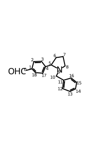 O=Cc1ccc(C2CCCN2Cc2ccccc2)cc1